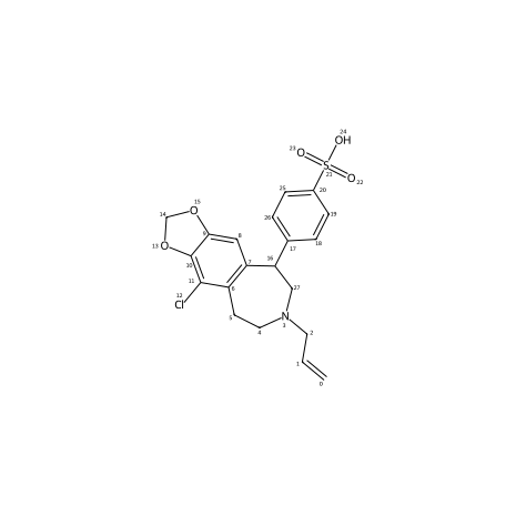 C=CCN1CCc2c(cc3c(c2Cl)OCO3)C(c2ccc(S(=O)(=O)O)cc2)C1